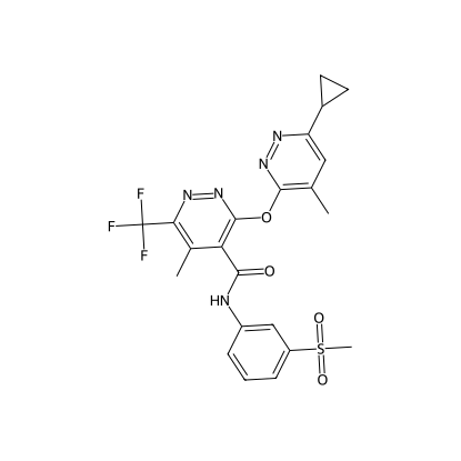 Cc1cc(C2CC2)nnc1Oc1nnc(C(F)(F)F)c(C)c1C(=O)Nc1cccc(S(C)(=O)=O)c1